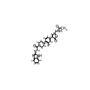 CC(=O)NCn1cc(-c2ccc(N3CCN(C(=O)CSc4nc5ccccc5[nH]4)CC3)c(F)c2)c(=O)o1